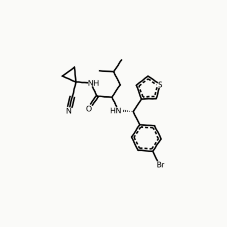 CC(C)CC(N[C@@H](c1ccc(Br)cc1)c1ccsc1)C(=O)NC1(C#N)CC1